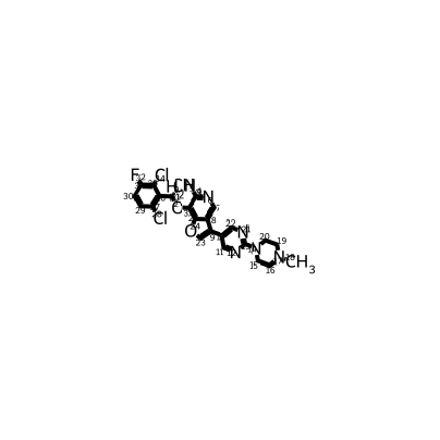 C[C@@H](Oc1c(N)ncc2c(-c3cnc(N4CCN(C)CC4)nc3)coc12)c1c(Cl)ccc(F)c1Cl